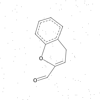 O=CC1=CCc2ccccc2O1